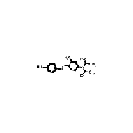 Cc1cc(N(C(C)O)C(C)O)ccc1N=Nc1ccc(N)cc1